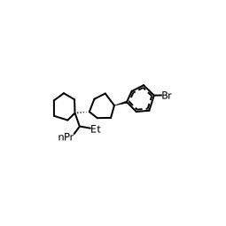 CCCC(CC)C1([C@H]2CC[C@H](c3ccc(Br)cc3)CC2)CCCCC1